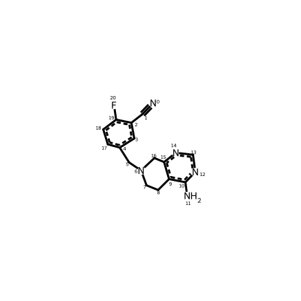 N#Cc1cc(CN2CCc3c(N)ncnc3C2)ccc1F